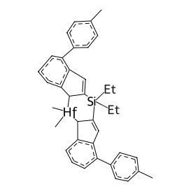 CC[Si]1(CC)C2=Cc3c(-c4ccc(C)cc4)cccc3[CH]2[Hf]([CH3])([CH3])[CH]2C1=Cc1c(-c3ccc(C)cc3)cccc12